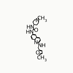 Cc1ccc(CNc2ccc3cc(NC(=O)NC4CCN(C)CC4)ccc3n2)o1